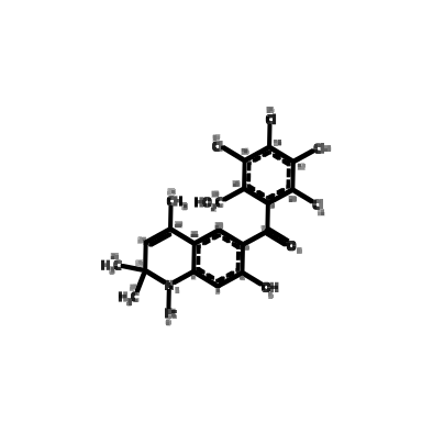 CCN1c2cc(O)c(C(=O)c3c(Cl)c(Cl)c(Cl)c(Cl)c3C(=O)O)cc2C(C)=CC1(C)C